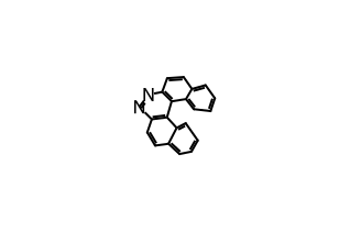 c1ccc2c(c1)ccc1nnc3ccc4ccccc4c3c12